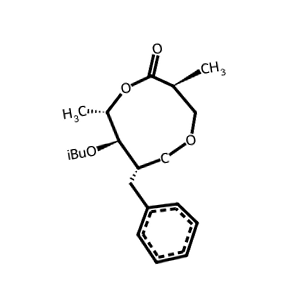 CC(C)CO[C@@H]1[C@@H](Cc2ccccc2)COC[C@H](C)C(=O)O[C@H]1C